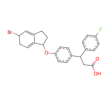 O=C(O)CC(c1ccc(F)cc1)c1ccc(OC2CCC3=CC(Br)CC=C32)cc1